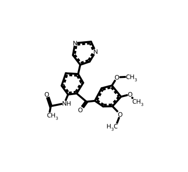 COc1cc(C(=O)c2cc(-c3cncnc3)ccc2NC(C)=O)cc(OC)c1OC